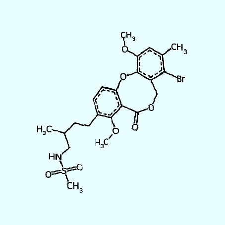 COc1cc(C)c(Br)c2c1Oc1ccc(CCC(C)CNS(C)(=O)=O)c(OC)c1C(=O)OC2